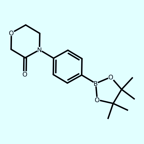 CC1(C)OB(c2ccc(N3CCOCC3=O)cc2)OC1(C)C